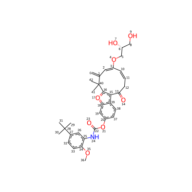 C=C1/C=C(OC[C@H](O)CO)\C=C/CC(=O)c2c(oc3cc(OC(=O)Nc4cc(C(C)(C)C)ccc4OC)ccc23)C1(C)C